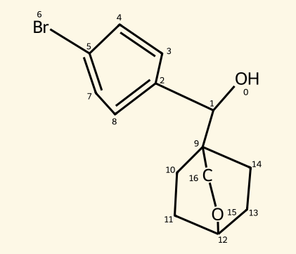 OC(c1ccc(Br)cc1)C12CCC(CC1)OC2